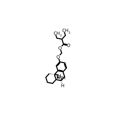 CCC(CC)C(=O)OCOc1ccc2c(c1)[C@]13CCCC[C@@H]1[C@H](C2)NCC3